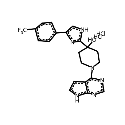 Cl.Cl.OC1(c2nc(-c3ccc(C(F)(F)F)cc3)c[nH]2)CCN(c2ncnc3[nH]ccc23)CC1